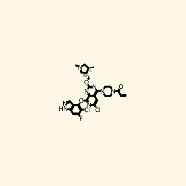 C=CC(=O)N1CCN(c2nc(OC[C@@H]3CN(C)C[C@H]3C)nc3c(Oc4c(Cl)c(F)cc5[nH]ncc45)nc(Cl)cc23)CC1